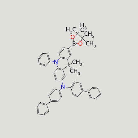 CC1(C)c2cc(B3OC(C)(C)C(C)(C)O3)ccc2N(c2ccccc2)c2ccc(N(c3ccc(-c4ccccc4)cc3)c3ccc(-c4ccccc4)cc3)cc21